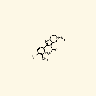 Cc1ccc(-c2nn3c(c2C(N)=O)CN(C=O)CC3)cc1C